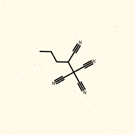 CCCC(C#N)C(C#N)(C#N)C#N